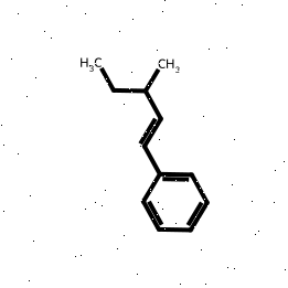 CCC(C)C=[C]c1ccccc1